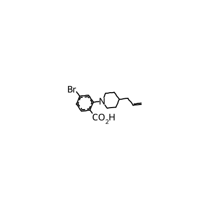 C=CCC1CCN(c2cc(Br)ccc2C(=O)O)CC1